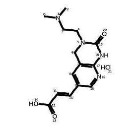 CN(C)CCN1Cc2cc(C=CC(=O)O)cnc2NC1=O.Cl